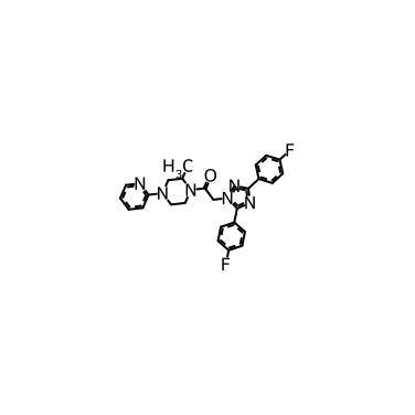 CC1CN(c2ccccn2)CCN1C(=O)Cn1nc(-c2ccc(F)cc2)nc1-c1ccc(F)cc1